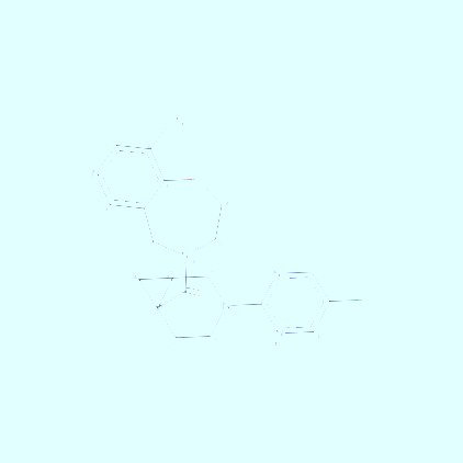 N#Cc1cncc2c1OCCN(C(=O)C13CCN(c4ncc(F)cn4)CC1C3)C2